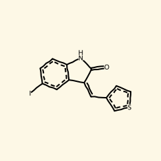 O=C1Nc2ccc(I)cc2C1=Cc1ccsc1